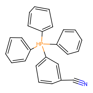 N#Cc1cccc([PH](c2ccccc2)(c2ccccc2)c2ccccc2)c1